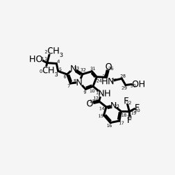 CC(C)(O)CCc1cn2cc(NC(=O)c3cccc(C(F)(F)F)n3)c(C(=O)NCCO)cc2n1